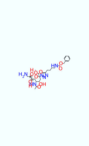 COC(=O)C1(n2cc(CCCCNC(=O)OCc3ccccc3)nn2)CC(O)C(NC(C)=O)C([C@@H](O)[C@H](O)CN)O1